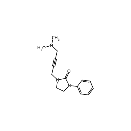 CN(C)CC#CCN1CCN(c2ccccc2)C1=O